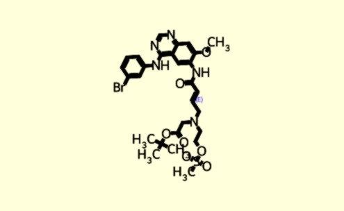 COc1cc2ncnc(Nc3cccc(Br)c3)c2cc1NC(=O)/C=C/CN(CCOS(C)(=O)=O)CC(=O)OC(C)(C)C